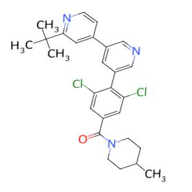 CC1CCN(C(=O)c2cc(Cl)c(-c3cncc(-c4ccnc(C(C)(C)C)c4)c3)c(Cl)c2)CC1